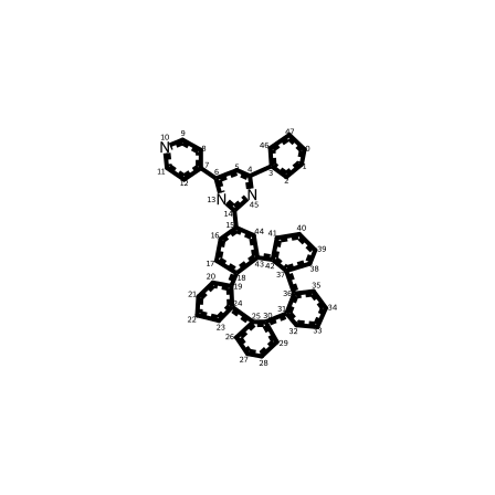 c1ccc(-c2cc(-c3ccncc3)nc(-c3ccc4c5ccccc5c5ccccc5c5ccccc5c5ccccc5c4c3)n2)cc1